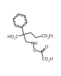 CCOC(=O)CCC(CNOC(=O)C(=O)O)(C(=O)O)c1ccccc1